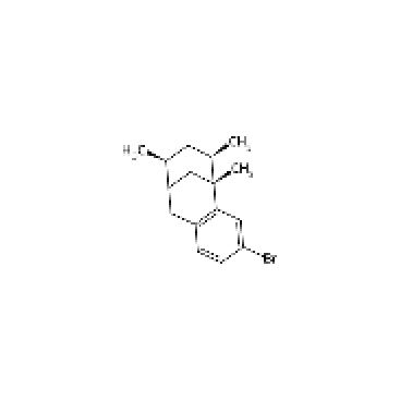 C[C@@H]1C[C@H](C)C2Cc3ccc(Br)cc3[C@]1(C)C2